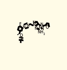 C[C@H](O[Si](C)(C)C(C)(C)C)c1ccc(F)c(N2CCN(CCn3ncc4c3nc(N)n3nc(-c5ccco5)nc43)CC2)c1